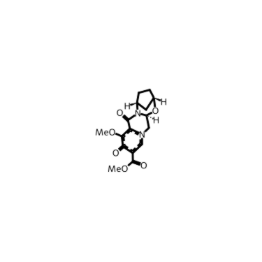 COC(=O)c1cn2c(c(OC)c1=O)C(=O)N1[C@@H]3CC[C@@H](C3)O[C@H]1C2